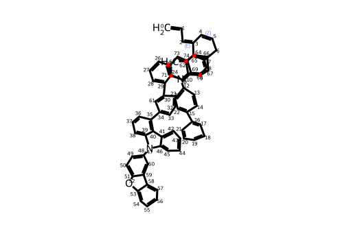 C=C/C=C(\C=C/CC1=CC=C(N(c2ccc(-c3ccccc3)cc2)c2ccccc2-c2cccc(-c3cccc4c3c3ccccc3n4-c3ccc4oc5ccccc5c4c3)c2)C(C)C1)c1cccc2ccccc12